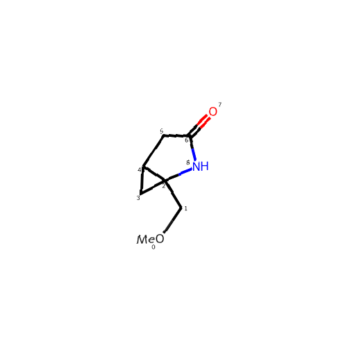 COCC12CC1CC(=O)N2